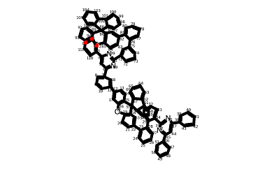 c1ccc(-c2cc(-c3cccc(-c4ccc5c(c4)Oc4ccc(-c6ccccc6-c6ccccc6-c6nc(-c7ccccc7)cc(-c7ccccc7)n6)cc4C54c5ccccc5-c5ccccc54)c3)nc(-c3cccc(-c4ccccc4-c4ccc5c(c4)C4(c6ccccc6O5)c5ccccc5-c5ccccc54)c3)n2)cc1